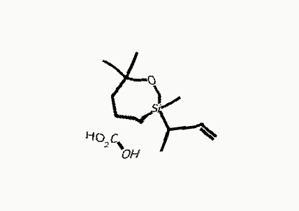 C=CC(C)[Si]1(C)CCCC(C)(C)O1.O=C(O)O